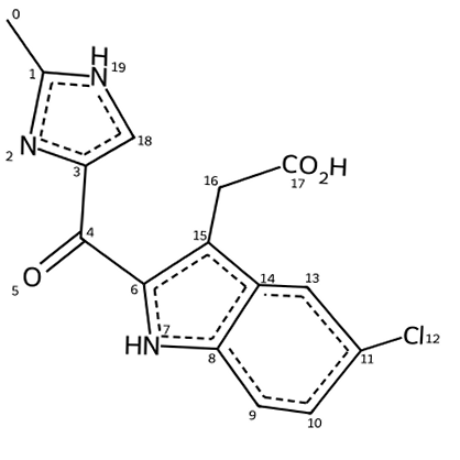 Cc1nc(C(=O)c2[nH]c3ccc(Cl)cc3c2CC(=O)O)c[nH]1